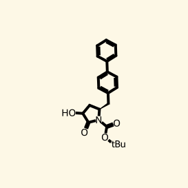 CC(C)(C)OC(=O)N1C(=O)C(O)C[C@H]1Cc1ccc(-c2ccccc2)cc1